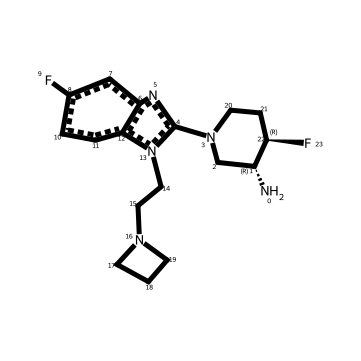 N[C@@H]1CN(c2nc3cc(F)ccc3n2CCN2CCC2)CC[C@H]1F